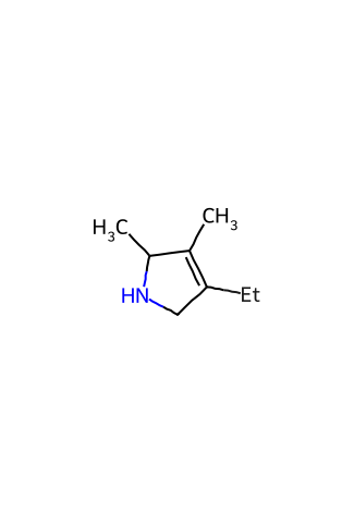 CCC1=C(C)C(C)NC1